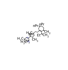 C=C(C)/C=C(\C=C/C)C(=N)C(C)CC(C)CCC1=C(C(=C)CC)C(=C)CCC(CCC)(CCC)C1